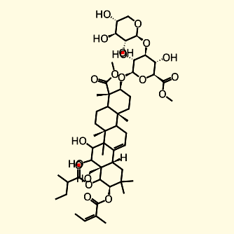 C/C=C(/C)C(=O)O[C@H]1C(OC(=O)C(C)CC)[C@]2(CO)C(O)C(O)C3(C)C(=CCC4[C@@]5(C)CC[C@H](O[C@@H]6O[C@H](C(=O)OC)[C@@H](O)[C@H](O[C@@H]7OC[C@@H](O)[C@H](O)[C@H]7O)[C@H]6O)[C@@](C)(C(=O)OC)C5CC[C@]43C)[C@@H]2CC1(C)C